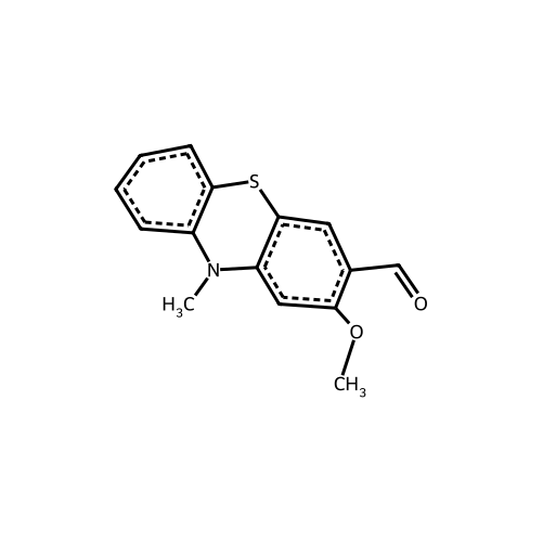 COc1cc2c(cc1C=O)Sc1ccccc1N2C